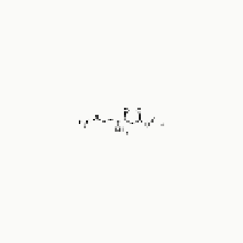 COC(=O)CC(=O)C(N)CCSC